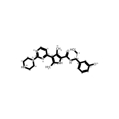 Cc1[nH]c(C(=O)N[C@H](CO)c2cccc(Cl)c2)c(C)c1-c1ccnc(N2CCNCC2)n1